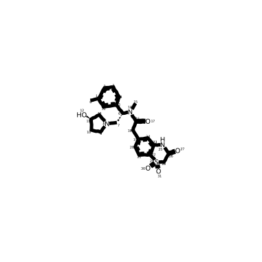 Cc1cccc([C@@H](CN2CC[C@H](O)C2)N(C)C(=O)Cc2ccc3c(c2)NC(=O)CS3(=O)=O)c1